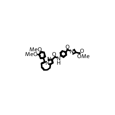 COC(=O)C1CN(C(=O)c2ccc(NC(=O)c3cc4n(n3)/C(c3ccc(OC)c(OC)c3)=C\C=C/CC4)cc2)C1